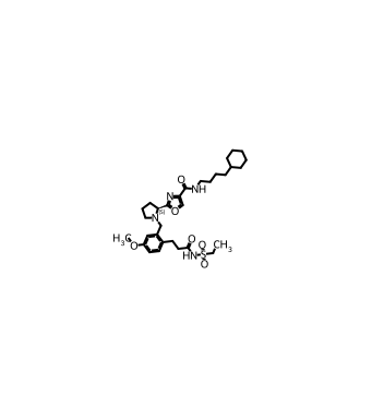 CCS(=O)(=O)NC(=O)CCc1ccc(OC)cc1CN1CCC[C@H]1c1nc(C(=O)NCCCCC2CCCCC2)co1